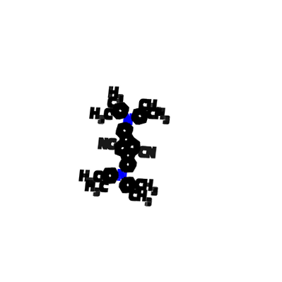 Cc1ccc(N(c2ccc(C)c(C)c2)c2ccc3c(c2)-c2cc(C#N)c4c5c(cc(C#N)c-3c25)-c2cc(N(c3ccc(C)c(C)c3)c3ccc(C)c(C)c3)ccc2-4)cc1C